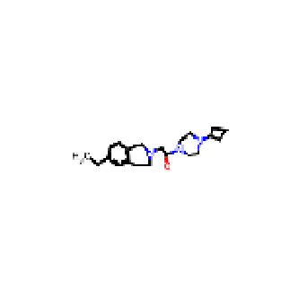 CCc1ccc2c(c1)CCN(CC(=O)N1CCN(C3CCC3)CC1)C2